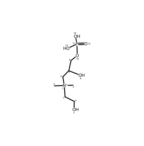 C[N+](C)(CCO)CC(O)COP(=O)(O)O